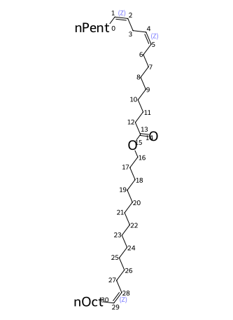 CCCCC/C=C\C/C=C\CCCCCCCC(=O)OCCCCCCCCCCCC/C=C\CCCCCCCC